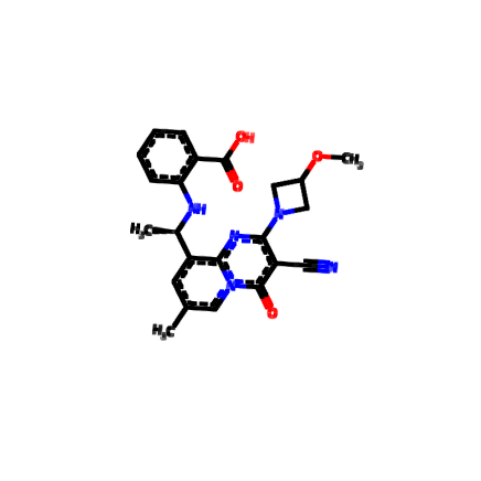 COC1CN(c2nc3c([C@@H](C)Nc4ccccc4C(=O)O)cc(C)cn3c(=O)c2C#N)C1